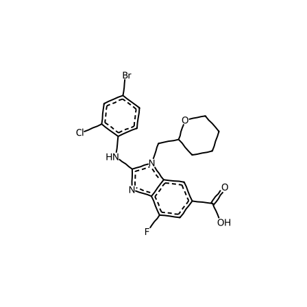 O=C(O)c1cc(F)c2nc(Nc3ccc(Br)cc3Cl)n(CC3CCCCO3)c2c1